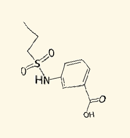 CCCS(=O)(=O)Nc1cccc(C(=O)O)c1